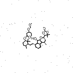 COCO[C@H]1CCOC(O[C@H]2CCC(C)C(CC[C@@H]3CCC[C@@]4(C)C3[C@@H](O)C3O[C@@H]([C@@H]5OC(=O)OC5(C)C)C[C@@H](C)C34)C2(C)C)C1